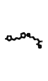 CC([C]=O)CCCCOC1CCC(CCCC2C[CH]CC2)C1